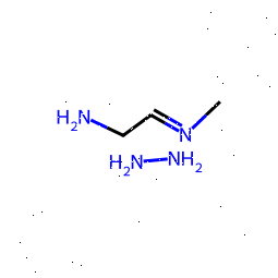 CN=CCN.NN